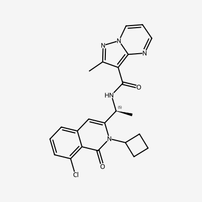 Cc1nn2cccnc2c1C(=O)N[C@@H](C)c1cc2cccc(Cl)c2c(=O)n1C1CCC1